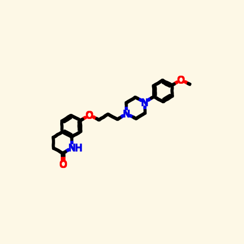 COc1ccc(N2CCN(CCCOc3ccc4c(c3)NC(=O)CC4)CC2)cc1